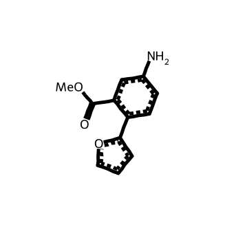 COC(=O)c1cc(N)ccc1-c1ccco1